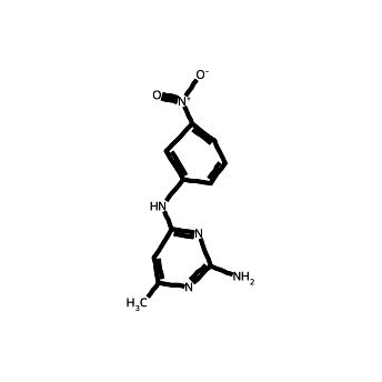 Cc1cc(Nc2cccc([N+](=O)[O-])c2)nc(N)n1